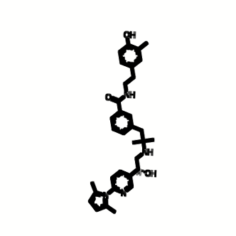 Cc1cc(CCNC(=O)c2cccc(CC(C)(C)NC[C@H](O)c3ccc(-n4c(C)ccc4C)nc3)c2)ccc1O